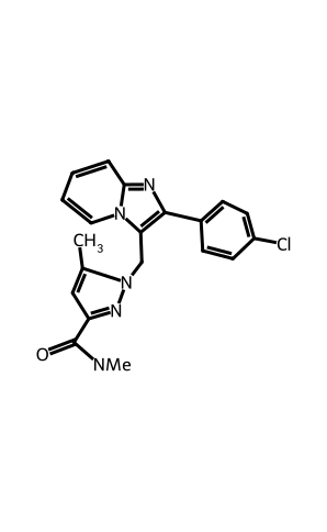 CNC(=O)c1cc(C)n(Cc2c(-c3ccc(Cl)cc3)nc3ccccn23)n1